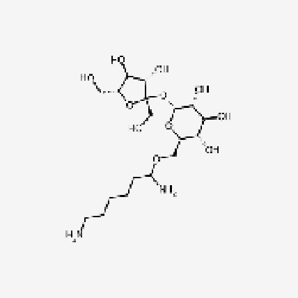 NCCCCCC(N)OC[C@H]1O[C@H](O[C@]2(CO)O[C@H](CO)[C@@H](O)[C@@H]2O)[C@H](O)[C@@H](O)[C@@H]1O